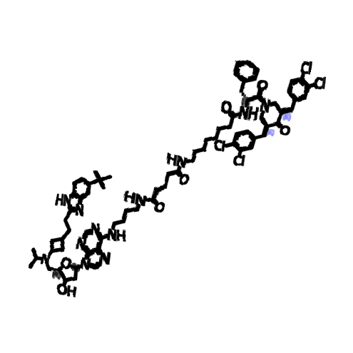 CC(C)N(C[C@H]1O[C@@H](n2cnc3c(NCCCCNC(=O)CCCC(=O)NCCCCCCCC(=O)N[C@H](Cc4ccccc4)C(=O)N4C/C(=C\c5ccc(Cl)c(Cl)c5)C(=O)/C(=C/c5ccc(Cl)c(Cl)c5)C4)ncnc32)CC1O)C1CC(CCc2nc3cc(C(C)(C)C)ccc3[nH]2)C1